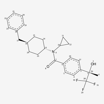 C[C@](O)(c1ccc(C(=O)N(C2CC2)[C@H]2CC[C@H](Cc3ccccc3)CC2)cc1)C(F)(F)F